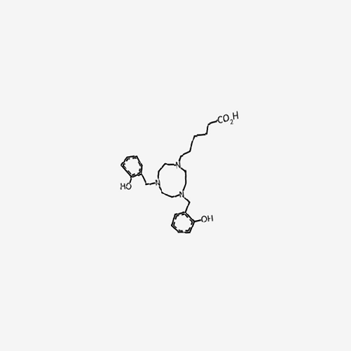 O=C(O)CCCCCN1CCN(Cc2ccccc2O)CCN(Cc2ccccc2O)CC1